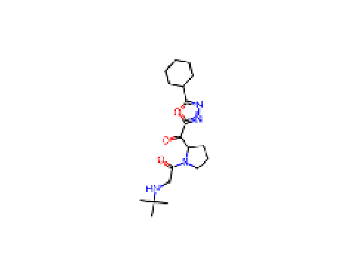 CC(C)(C)NCC(=O)N1CCCC1C(=O)c1nnc(C2CCCCC2)o1